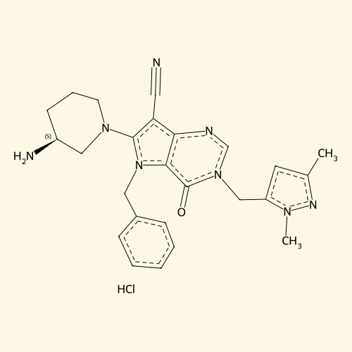 Cc1cc(Cn2cnc3c(C#N)c(N4CCC[C@H](N)C4)n(Cc4ccccc4)c3c2=O)n(C)n1.Cl